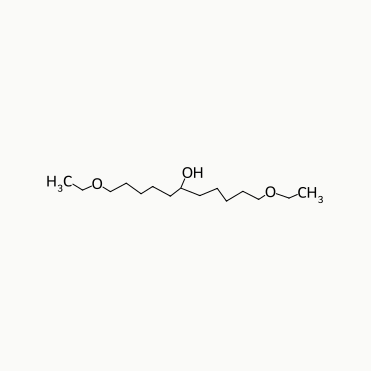 CCOCCCCCC(O)CCCCCOCC